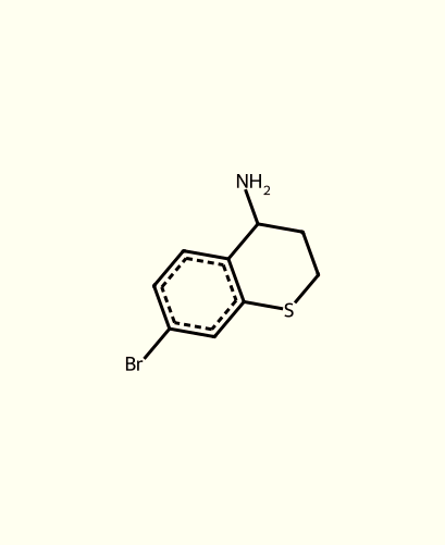 NC1CCSc2cc(Br)ccc21